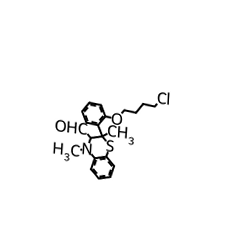 CN1c2ccccc2SC(C)(c2ccccc2OCCCCCl)C1C=O